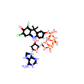 CC1(C)C2=C(Cl)C(=O)C(Cl)=CC2=Nc2ccc(OP(=O)(O)OP(=O)(O)OP(=O)(O)OC[C@@H]3O[C@H](n4cnc5c(N)ncnc54)CC3O)cc21